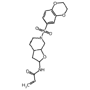 C=CC(=O)NC1CC2CCN(S(=O)(=O)c3ccc4c(c3)OCCO4)CC2O1